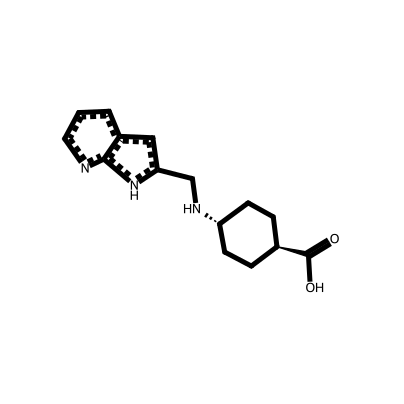 O=C(O)[C@H]1CC[C@H](NCc2cc3cccnc3[nH]2)CC1